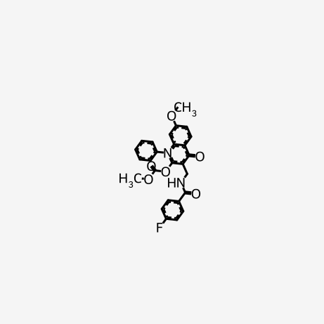 COC(=O)Oc1c(CNC(=O)c2ccc(F)cc2)c(=O)c2ccc(OC)cc2n1-c1ccccc1